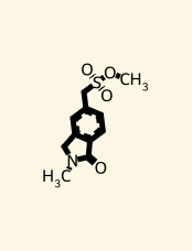 COS(=O)(=O)Cc1ccc2c(c1)CN(C)C2=O